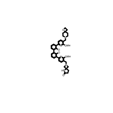 COc1nc(-c2cccc(-c3cccc(-c4ccc(CN5CC6(CCC(=O)N6)C5)c(OC)n4)c3Cl)c2Cl)ccc1CN1CCC2(CCO2)CC1